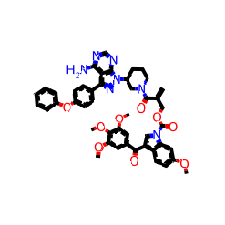 C=C(COC(=O)n1cc(C(=O)c2cc(OC)c(OC)c(OC)c2)c2ccc(OC)cc21)C(=O)N1CCCC(n2nc(-c3ccc(Oc4ccccc4)cc3)c3c(N)ncnc32)C1